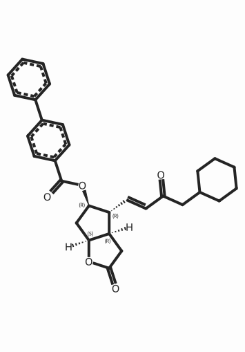 O=C(C=C[C@@H]1[C@H]2CC(=O)O[C@H]2C[C@H]1OC(=O)c1ccc(-c2ccccc2)cc1)CC1CCCCC1